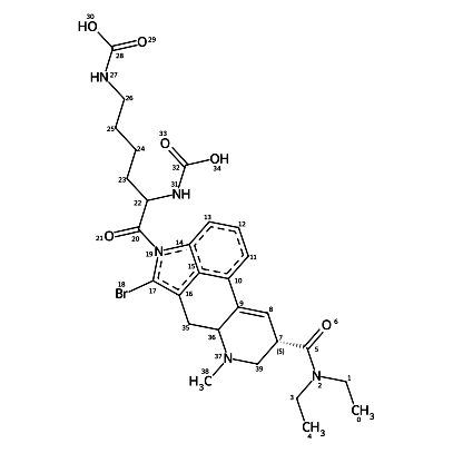 CCN(CC)C(=O)[C@H]1C=C2c3cccc4c3c(c(Br)n4C(=O)C(CCCCNC(=O)O)NC(=O)O)CC2N(C)C1